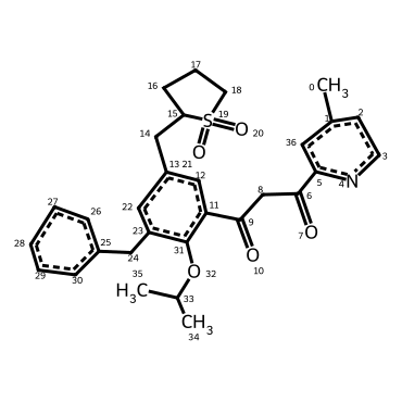 Cc1ccnc(C(=O)CC(=O)c2cc(CC3CCCS3(=O)=O)cc(Cc3ccccc3)c2OC(C)C)c1